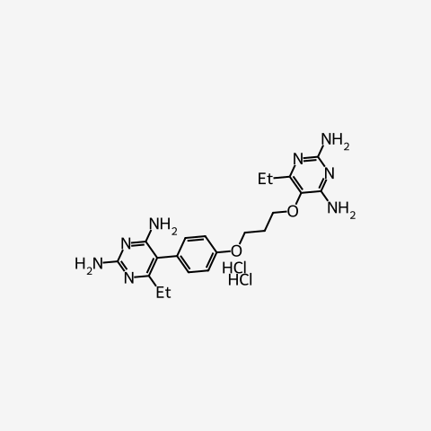 CCc1nc(N)nc(N)c1OCCCOc1ccc(-c2c(N)nc(N)nc2CC)cc1.Cl.Cl